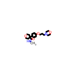 CNC(=O)C1(c2ccc(OCCCN3CCOCC3)cc2)CCOCC1